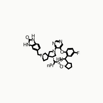 CCCC(I)[S+]([O-])NC(c1cc(F)ccc1Oc1cncnc1N1CCC2(CCN(Cc3ccc4[nH]c(=O)[nH]c4c3)C2)C1)C1CCCC1